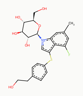 Cc1cc(F)c2c(Sc3ccc(CCO)cc3)cn([C@@H]3O[C@H](CO)[C@@H](O)[C@H](O)[C@H]3O)c2c1